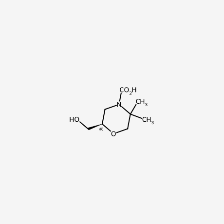 CC1(C)CO[C@@H](CO)CN1C(=O)O